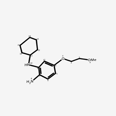 COCCOc1ccc(N)c(NC2CCCCC2)c1